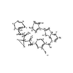 CN(c1ccc(NC(=O)C2(C(=O)Nc3ccccc3)CC2)cc1F)c1ccnc2cc(-c3cn(C)cn3)sc12